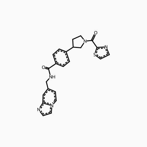 O=C(NCc1ccn2ccnc2c1)c1ccc(C2CCN(C(=O)c3nccs3)C2)cc1